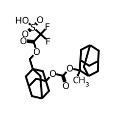 CC1(OC(=O)OC23CC4CC(CC(COC(=O)C(F)(F)S(=O)(=O)O)(C4)C2)C3)C2CC3CC(C2)CC1C3